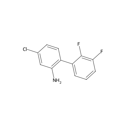 Nc1cc(Cl)ccc1-c1cccc(F)c1F